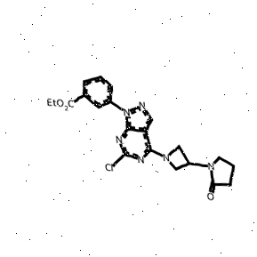 CCOC(=O)c1cccc(-n2ncc3c(N4CC(N5CCCC5=O)C4)nc(Cl)nc32)c1